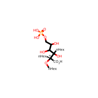 CCCCCCO[C@@](CCCCCC)(C(=O)O)C(O)(CCCCCC)C(O)C(O)COP(=O)(O)O